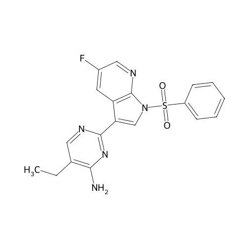 CCc1cnc(-c2cn(S(=O)(=O)c3ccccc3)c3ncc(F)cc23)nc1N